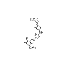 CCOC(=O)COc1ccc(Nc2ncc(OCc3c(F)c(C)cc(OC)c3F)cn2)cc1C